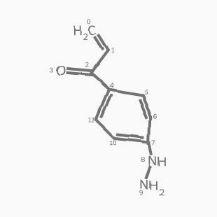 C=CC(=O)c1ccc(NN)cc1